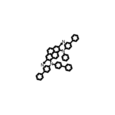 N#Cc1cc2ccc3cc(C#N)c(N(c4ccc(-c5ccccc5)cc4)c4ccc(-c5ccccc5)cc4)c4ccc(c1N(c1ccccc1)c1ccc(-c5ccccc5)cc1)c2c34